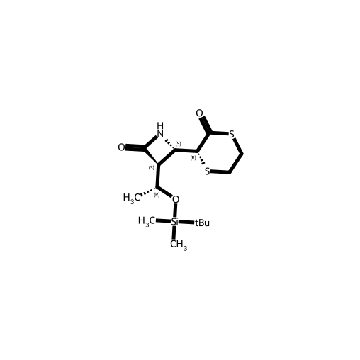 C[C@@H](O[Si](C)(C)C(C)(C)C)[C@H]1C(=O)N[C@@H]1[C@H]1SCCSC1=O